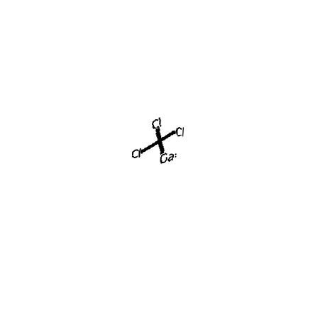 Cl[C](Cl)(Cl)[Ga]